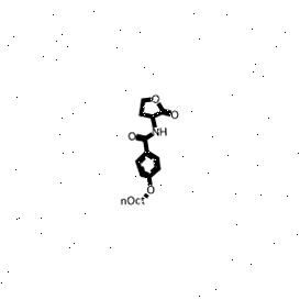 CCCCCCCCOc1ccc(C(=O)NC2CCOC2=O)cc1